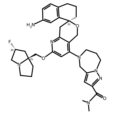 CN(C)C(=O)c1cc2n(n1)CCCN(c1cc(OC[C@@]34CCCN3C[C@H](F)C4)nc3c1CO[C@@]1(CCCc4ccc(N)cc41)C3)C2